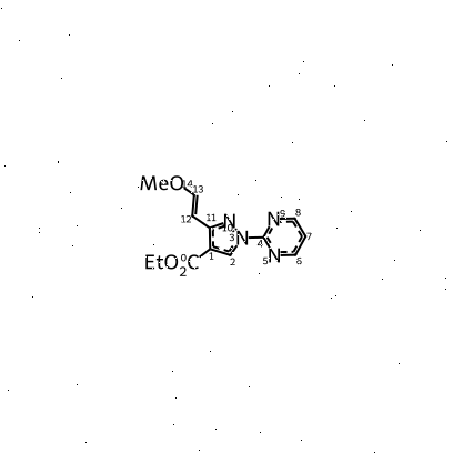 CCOC(=O)c1cn(-c2ncccn2)nc1C=COC